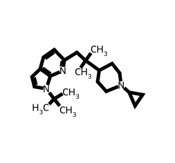 CC(C)(Cc1ccc2ccn(C(C)(C)C)c2n1)C1CCN(C2CC2)CC1